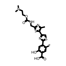 Cc1nc(CNC(=O)OCCN(C)C)sc1-c1csc(-c2cc(O)c(C(=O)O)cc2F)n1